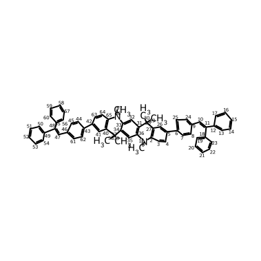 CN1c2ccc(-c3ccc(C=C(c4ccccc4)c4ccccc4)cc3)cc2C(C)(C)c2cc3c(cc21)C(C)(C)c1cc(-c2ccc(C=C(c4ccccc4)c4ccccc4)cc2)ccc1N3C